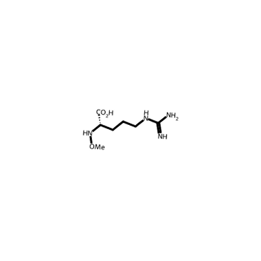 CON[C@@H](CCCNC(=N)N)C(=O)O